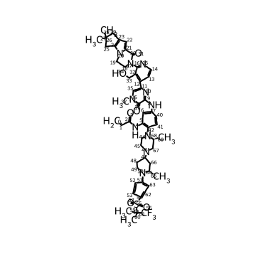 C=CC(=O)Nc1cc(Nc2nc(-c3ccnc(N4CCn5c(cc6c5CC(C)(C)C6)C4=O)c3CO)cn(C)c2=O)ccc1N1CCN(C2CCN(c3ccc(S(=O)(=O)C(C)(C)C(F)(F)F)cc3)[C@H](C)C2)C[C@@H]1C